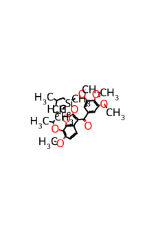 COc1cc(C(=O)c2c(O[Si](C)(C)CC(C)C)oc3c(OC(C)C)c(OC)ccc23)cc(OC)c1OC